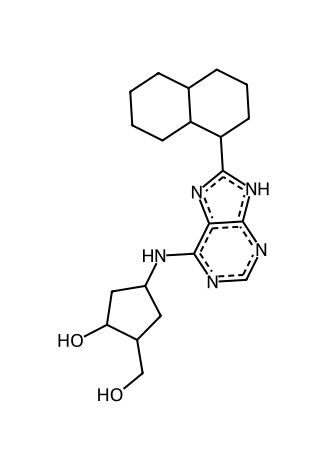 OCC1CC(Nc2ncnc3[nH]c(C4CCCC5CCCCC54)nc23)CC1O